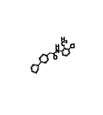 Cc1c(Cl)cccc1NC(=O)Cc1ccc(-c2ccccc2)cc1